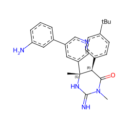 CN1C(=N)N[C@](C)(c2cncc(-c3cccc(N)c3)c2)[C@@H](c2ccc(C(C)(C)C)cc2)C1=O